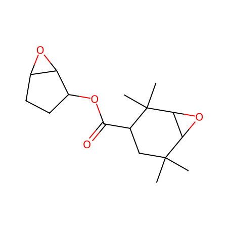 CC1(C)CC(C(=O)OC2CCC3OC23)C(C)(C)C2OC21